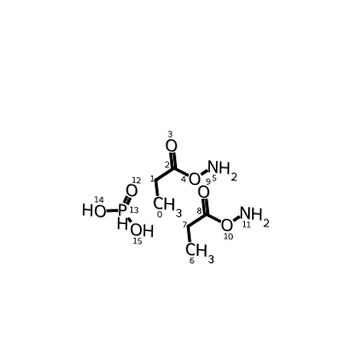 CCC(=O)ON.CCC(=O)ON.O=[PH](O)O